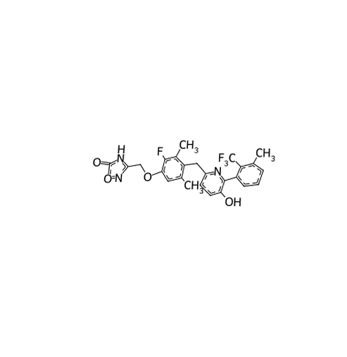 Cc1cc(OCc2noc(=O)[nH]2)c(F)c(C)c1Cc1ccc(O)c(-c2cccc(C)c2C(F)(F)F)n1